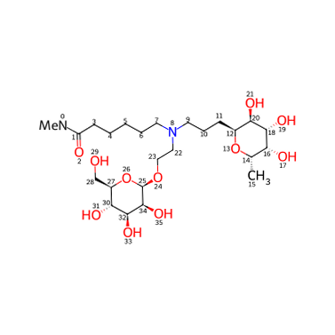 CNC(=O)CCCCCN(CCC[C@@H]1O[C@@H](C)[C@@H](O)[C@@H](O)[C@@H]1O)CCO[C@@H]1O[C@H](CO)[C@@H](O)[C@H](O)[C@@H]1O